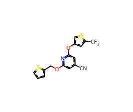 N#Cc1cc(OCc2cccs2)nc(Oc2csc(C(F)(F)F)c2)c1